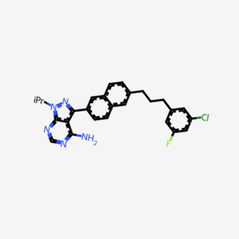 CC(C)n1nc(-c2ccc3cc(CCCc4cc(F)cc(Cl)c4)ccc3c2)c2c(N)ncnc21